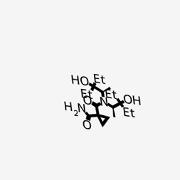 CCC(O)(CC)[C@@H](C)N(C(=O)C1(C(N)=O)CC1)[C@H](C)C(O)(CC)CC